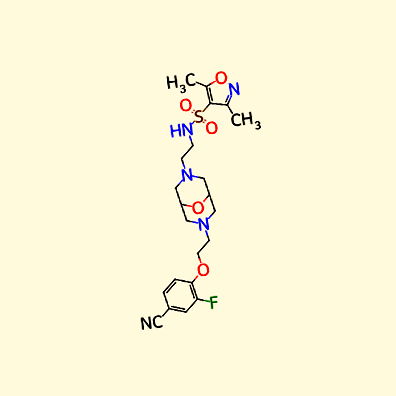 Cc1noc(C)c1S(=O)(=O)NCCN1CC2CN(CCOc3ccc(C#N)cc3F)CC(C1)O2